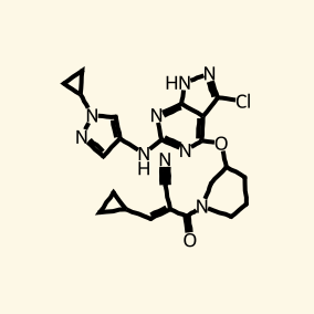 N#C/C(=C\C1CC1)C(=O)N1CCCC(Oc2nc(Nc3cnn(C4CC4)c3)nc3[nH]nc(Cl)c23)C1